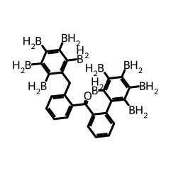 Bc1c(B)c(B)c(Cc2ccccc2C(=O)c2ccccc2-c2c(B)c(B)c(B)c(B)c2B)c(B)c1B